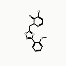 COc1ccccc1-c1noc(Cn2nccc(Cl)c2=O)n1